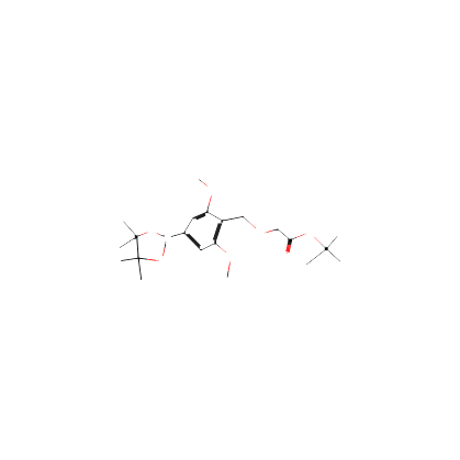 COc1cc(B2OC(C)(C)C(C)(C)O2)cc(OC)c1COCC(=O)OC(C)(C)C